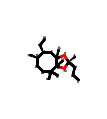 CCC[C@]1(C)O[C@H]2C[C@H](CC)[C@H](C)CCC(C)(C)[C@@]2(C)O1